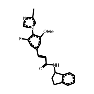 COc1cc(C=CC(=O)NC2CCc3ccccc32)cc(F)c1-n1cnc(C)c1